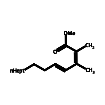 CCCCCCCCCC=CC(C)=C(C)C(=O)OC